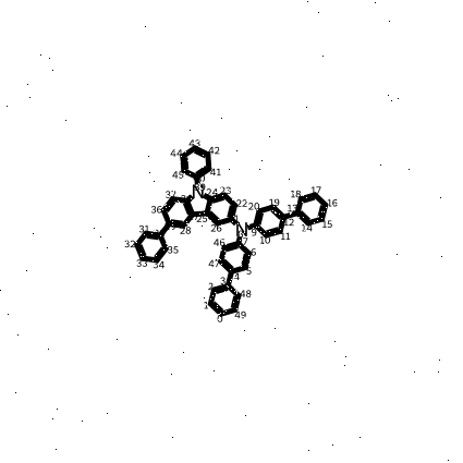 c1ccc(-c2ccc(N(c3ccc(-c4ccccc4)cc3)c3ccc4c(c3)c3cc(-c5ccccc5)ccc3n4-c3ccccc3)cc2)cc1